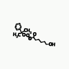 CC(C)(OOOC(=O)CCCCCO)c1ccccc1